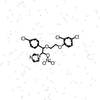 O=[N+]([O-])OC([C](OCCOc1ccc(Cl)cc1Cl)c1ccc(Cl)cc1)n1ccnc1